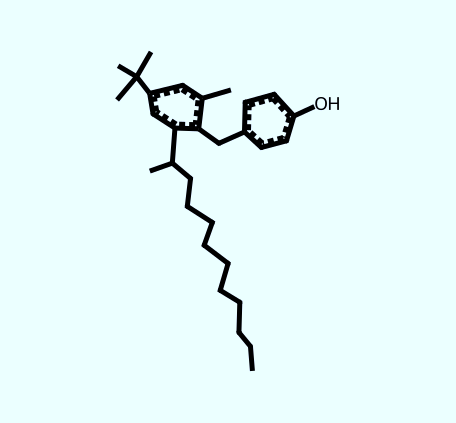 CCCCCCCCCCC(C)c1cc(C(C)(C)C)cc(C)c1Cc1ccc(O)cc1